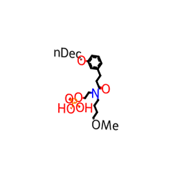 CCCCCCCCCCOc1cccc(CCC(=O)N(CCCCOC)CCOP(=O)(O)O)c1